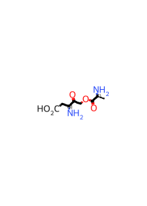 C[C@H](N)C(=O)OCC(=O)[C@@H](N)CC(=O)O